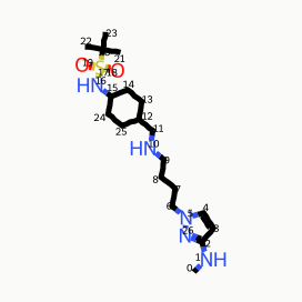 CNc1ccn(CCCCNCC2CCC(NS(=O)(=O)C(C)(C)C)CC2)n1